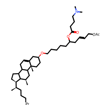 CC(=O)OC/C=C/CC(CCCCCO[C@H]1CC[C@@]2(C)C(=CCC3C4CC[C@H]([C@H](C)CCCC(C)C)C4[C@H](C)CC32)C1)OC(=O)CCCN(C)C